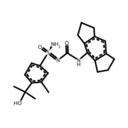 Cc1cc([S@](N)(=O)=NC(=O)Nc2c3c(cc4c2CCC4)CCC3)ccc1C(C)(C)O